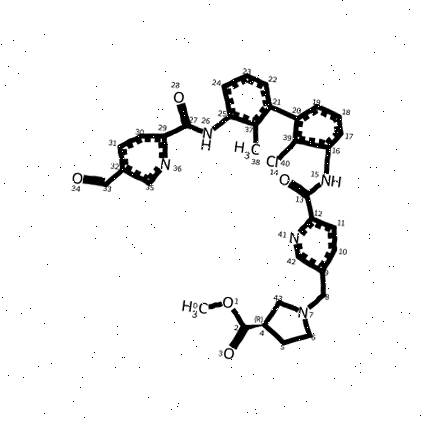 COC(=O)[C@@H]1CCN(Cc2ccc(C(=O)Nc3cccc(-c4cccc(NC(=O)c5ccc(C=O)cn5)c4C)c3Cl)nc2)C1